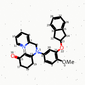 COc1ccc(N(Cc2ccccn2)C2=CC(=O)CCC2)cc1OC1Cc2ccccc2C1